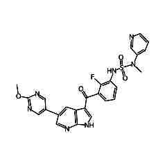 COc1ncc(-c2cnc3[nH]cc(C(=O)c4cccc(NS(=O)(=O)N(C)c5cccnc5)c4F)c3c2)cn1